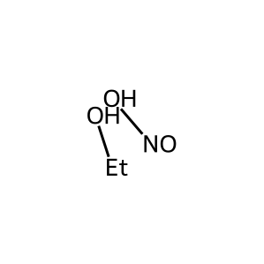 CCO.O=NO